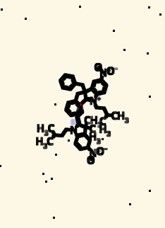 CC(C)CCN1C2=C(CC([N+](=O)[O-])C=C2)C(C)(C)/C1=C\C=C\C1=[N+](CCC(C)C)c2ccc([N+](=O)[O-])cc2C1(Cc1ccccc1)Cc1ccccc1